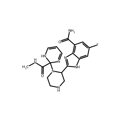 CNC(=O)C1(N2CCNCC2c2nc3c(C(N)=O)cc(F)cc3[nH]2)N=CC=CN1